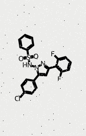 O=S(=O)(Nn1nc(-c2c(F)cccc2F)cc1-c1ccc(Cl)cc1)c1ccccc1